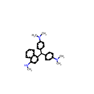 CNc1ccc(C(c2ccc(N(C)C)cc2)c2ccc(N(C)C)cc2)c2ccccc12